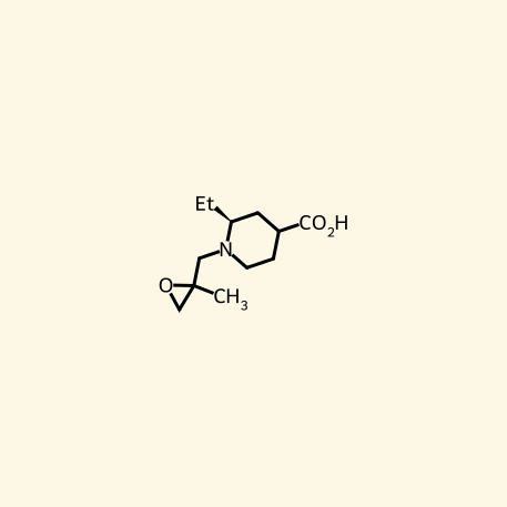 CC[C@H]1CC(C(=O)O)CCN1CC1(C)CO1